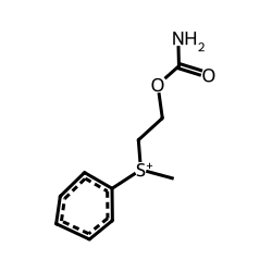 C[S+](CCOC(N)=O)c1ccccc1